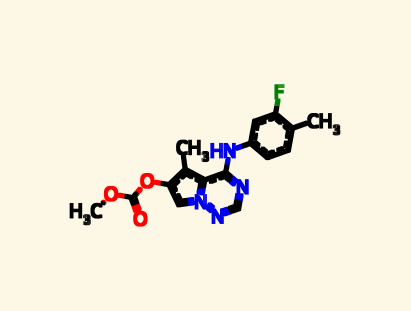 COC(=O)Oc1cn2ncnc(Nc3ccc(C)c(F)c3)c2c1C